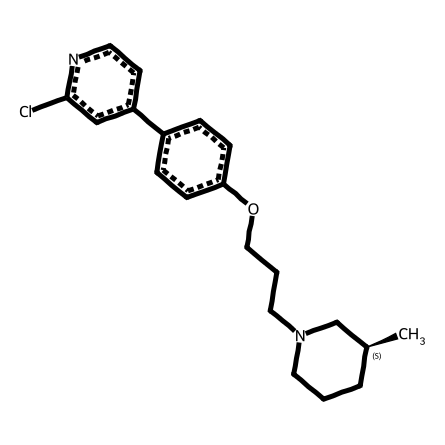 C[C@H]1CCCN(CCCOc2ccc(-c3ccnc(Cl)c3)cc2)C1